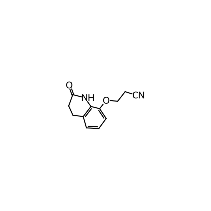 N#CCCOc1cccc2c1NC(=O)CC2